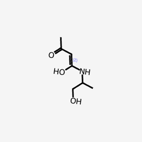 CC(=O)/C=C(\O)NC(C)CO